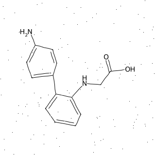 Nc1ccc(-c2ccccc2NCC(=O)O)cc1